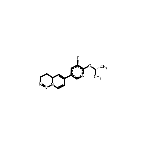 C[C@H](Oc1ncc(C2=CC3CCN=NN3C=C2)cc1F)C(F)(F)F